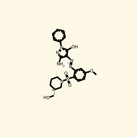 COc1ccc(S(=O)(=O)N2CCC[C@@H](CO)C2)c(/N=N/c2c(N)nn(-c3ccccc3)c2O)c1